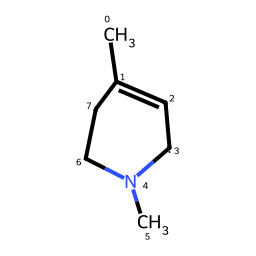 CC1=C[CH]N(C)CC1